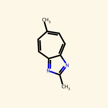 Cc1ccc2nc(C)nc-2cc1